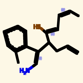 C=CCC(/C(S)=C/C=C\C)/C(=C/N)c1ccccc1C